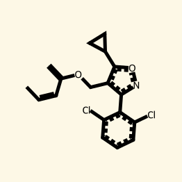 C=C(/C=C\C)OCc1c(-c2c(Cl)cccc2Cl)noc1C1CC1